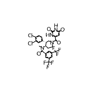 CN(C(=O)c1cc(C(F)(F)F)cc(C(F)(F)F)c1)[C@@H]1CCN(C(=O)c2cc(=O)[nH]c(=O)[nH]2)C[C@H]1c1ccc(Cl)c(Cl)c1